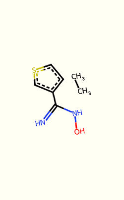 CC.N=C(NO)c1ccsc1